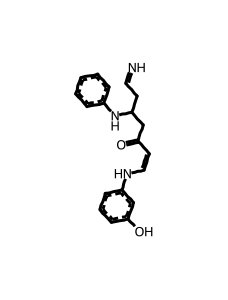 N=CCC(CC(=O)/C=C\Nc1cccc(O)c1)Nc1ccccc1